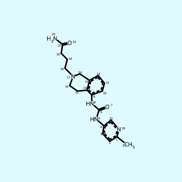 Cc1ccc(NC(=O)Nc2cccc3c2CCN(CCCC(N)=O)C3)cn1